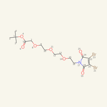 CC(C)(C)OC(=O)COCCOCCOCCN1C(=O)C(Br)=C(Br)C1=O